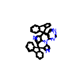 c1ccc2c(c1)-c1ccccc1C21c2cnccc2N2c3ncncc3C3(c4ccccc4-c4ccccc43)c3cncc1c32